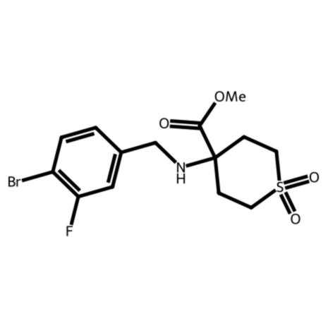 COC(=O)C1(NCc2ccc(Br)c(F)c2)CCS(=O)(=O)CC1